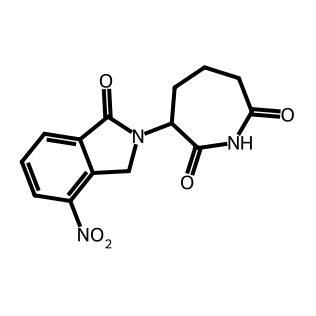 O=C1CCCC(N2Cc3c(cccc3[N+](=O)[O-])C2=O)C(=O)N1